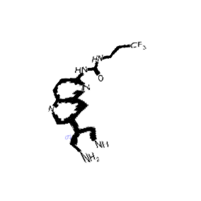 N=C/C(=C\N)c1cnc2ccc(NC(=O)NCCC(F)(F)F)nc2c1